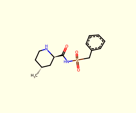 C[C@@H]1CCN[C@@H](C(=O)NS(=O)(=O)Cc2ccccc2)C1